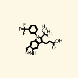 CC(C)c1c(CCC(=O)O)c2cc3[nH]ncc3cc2n1-c1cccc(C(F)(F)F)c1